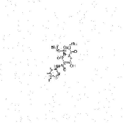 CC(C)(C)OC(=O)C1CC(O)=C(C(=O)Nc2ccc(F)cn2)C(=O)N1C(=O)OC(C)(C)C